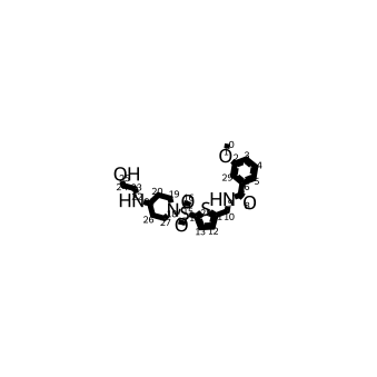 COc1cccc(C(=O)NCc2ccc(S(=O)(=O)N3CCC(NCCO)CC3)s2)c1